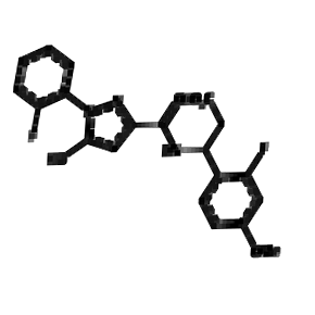 COc1ccc(C(CC(=O)O)NC(=O)c2cc(O)n(-c3ccccc3F)n2)c(F)c1